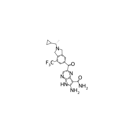 C[C@@H](C1CC1)N1Cc2cc(C(=O)c3cnc4[nH]c(N)c(C(N)=O)c4n3)cc(C(F)(F)F)c2C1